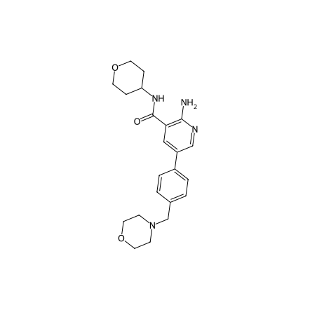 Nc1ncc(-c2ccc(CN3CCOCC3)cc2)cc1C(=O)NC1CCOCC1